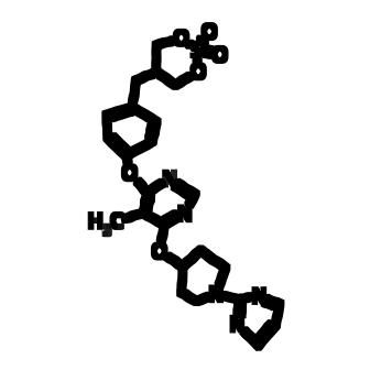 Cc1c(Oc2ccc(CC3COS(=O)(=O)OC3)cc2)ncnc1OC1CCN(c2ncccn2)CC1